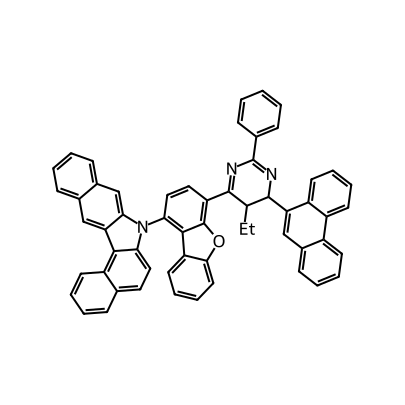 CCC1C(c2ccc(-n3c4cc5ccccc5cc4c4c5ccccc5ccc43)c3c2oc2ccccc23)=NC(c2ccccc2)=NC1c1cc2ccccc2c2ccccc12